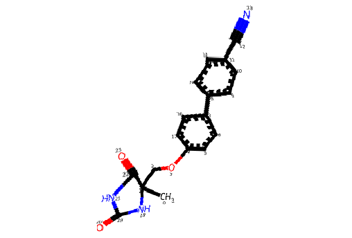 CC1(COc2ccc(-c3ccc(C#N)cc3)cc2)NC(=O)NC1=O